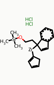 C[Si](C)(C)OCC[C]1([Zr][C]2=CC=CC2)C=Cc2ccccc21.Cl.Cl